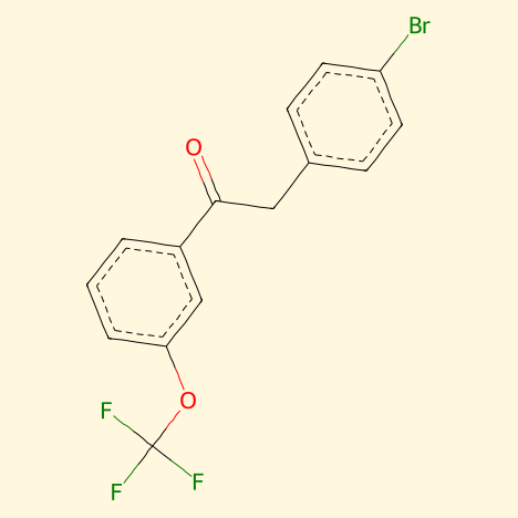 O=C(Cc1ccc(Br)cc1)c1cccc(OC(F)(F)F)c1